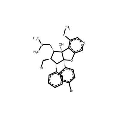 COc1cncc2c1[C@]1(O)[C@@H](CN(C)C)[C@H](CO)[C@@H](c3ccccc3)[C@]1(c1ccc(Br)cc1)O2